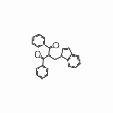 O=C(c1ccccc1)C(CC1C=Cc2ccccc21)C(=O)c1ccccc1